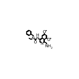 CCN(Cc1ccccc1)C(=O)Nc1cnc(CN)c2c(OC)cc(OC)cc12